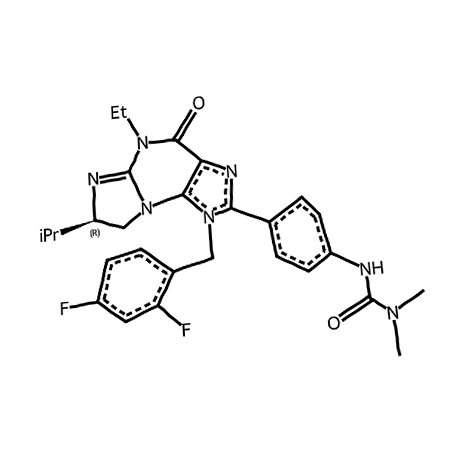 CCN1C(=O)c2nc(-c3ccc(NC(=O)N(C)C)cc3)n(Cc3ccc(F)cc3F)c2N2C[C@@H](C(C)C)N=C12